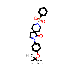 CC(C)(Oc1ccc(N2CCC3(CCN(S(=O)(=O)c4ccccc4)CC3)C2=O)cc1)C(F)(F)F